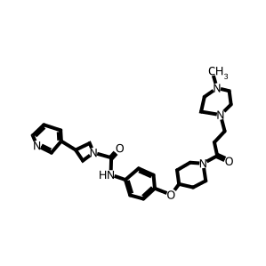 CN1CCN(CCC(=O)N2CCC(Oc3ccc(NC(=O)N4CC(c5cccnc5)C4)cc3)CC2)CC1